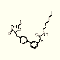 C=CCOC(Cc1ccc(-c2cccc(N(C)C(=O)NCCCCCCC)c2)cc1)C(=O)O